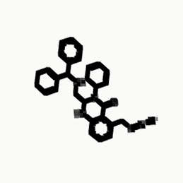 [N-]=[N+]=NCc1cccc2c1C(=O)N(C1C=CC=CC1)C(CNC(C1=CCCC=C1)c1ccccc1)N2